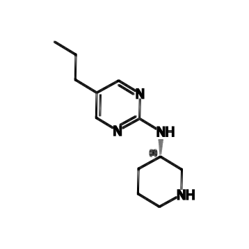 CCCc1cnc(N[C@H]2CCCNC2)nc1